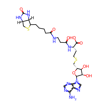 Nc1ncnc2c1ncn2C1O[C@H](CSCC[C@H](NC(=O)CCNC(=O)CCCCC2SC[C@@H]3NC(=O)N[C@H]23)C(=O)O)[C@@H](O)[C@H]1O